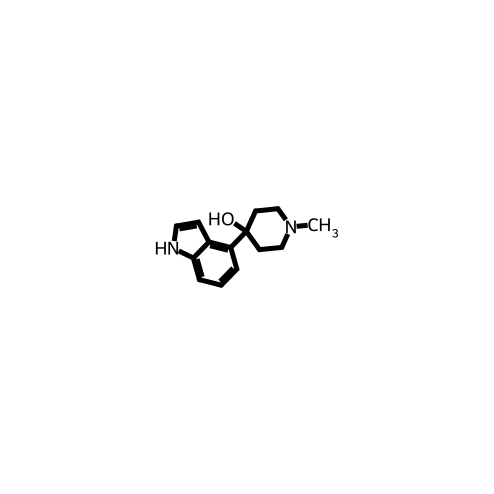 CN1CCC(O)(c2cccc3[nH]ccc23)CC1